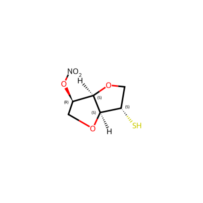 O=[N+]([O-])O[C@@H]1CO[C@H]2[C@@H]1OC[C@@H]2S